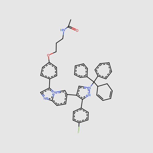 CC(=O)NCCCOc1ccc(-c2cnc3ccc(-c4cn(C(c5ccccc5)(c5ccccc5)C5C=CC=CC5)nc4-c4ccc(F)cc4)cn23)cc1